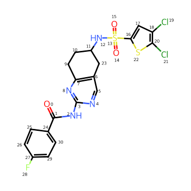 O=C(Nc1ncc2c(n1)CCC(NS(=O)(=O)c1cc(Cl)c(Cl)s1)C2)c1ccc(F)cc1